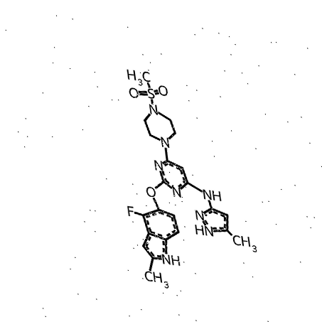 Cc1cc(Nc2cc(N3CCN(S(C)(=O)=O)CC3)nc(Oc3ccc4[nH]c(C)cc4c3F)n2)n[nH]1